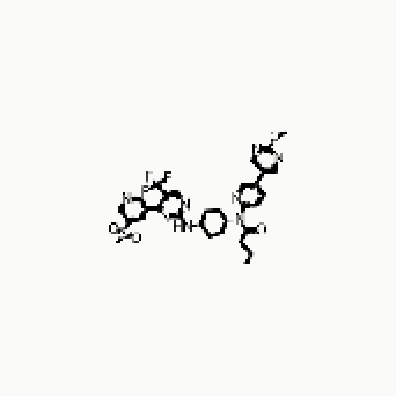 CCCC(=O)N(c1ccc(-c2cnc(OC)nc2)cn1)[C@H]1CC[C@H](Nc2ncc(C(F)(F)F)c(-c3cncc(S(C)(=O)=O)c3)n2)CC1